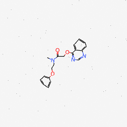 CN(CCOc1ccccc1)C(=O)COc1ncnc2ccccc12